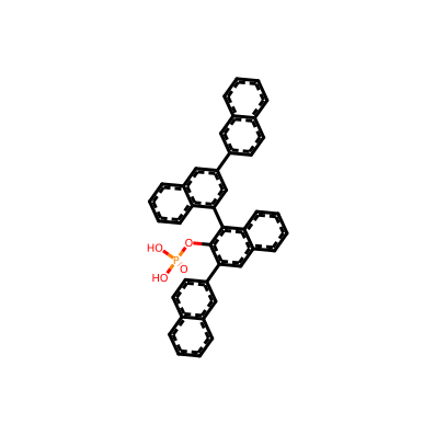 O=P(O)(O)Oc1c(-c2ccc3ccccc3c2)cc2ccccc2c1-c1cc(-c2ccc3ccccc3c2)cc2ccccc12